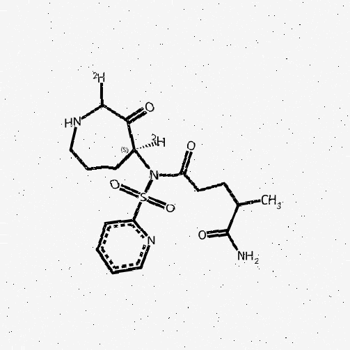 [2H]C1NCCC[C@]([2H])(N(C(=O)[CH]CC(C)C(N)=O)S(=O)(=O)c2ccccn2)C1=O